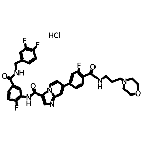 Cl.O=C(NCc1ccc(F)c(F)c1)c1ccc(F)c(NC(=O)c2cnc3cc(-c4ccc(C(=O)NCCCN5CCOCC5)c(F)c4)ccn23)c1